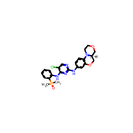 CP(C)(=O)c1ccccc1Nc1nc(Nc2ccc3c(c2)OC[C@@H]2COCCN32)ncc1Cl